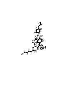 CCCCCC1CCC(C(OO)c2ccc3c(c2F)C(=O)OC(c2ccc(CCC)cc2)C3)CC1